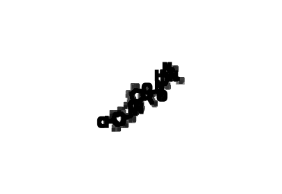 Cc1c(C(=O)NCc2cncn2C)oc2c1-c1nn(Cc3ccc(Cl)cc3)cc1CC2